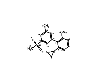 COc1ncnc(C2CC2)c1-c1nc(C)cc(S(C)(=O)=O)n1